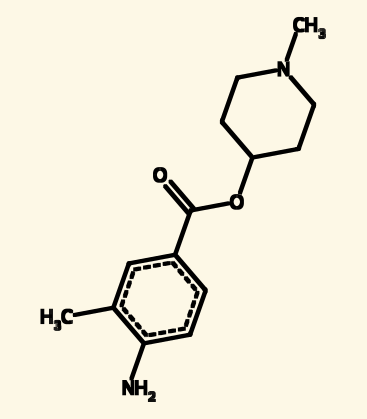 Cc1cc(C(=O)OC2CCN(C)CC2)ccc1N